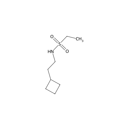 CCS(=O)(=O)NCCC1CCC1